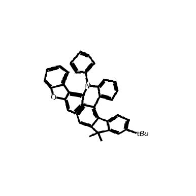 CC(C)(C)c1ccc2c(c1)C(C)(C)c1cccc(-c3ccccc3N(c3ccccc3)c3cccc4oc5ccccc5c34)c1-2